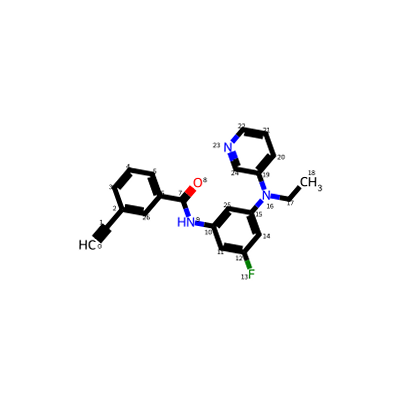 C#Cc1cccc(C(=O)Nc2cc(F)cc(N(CC)c3cccnc3)c2)c1